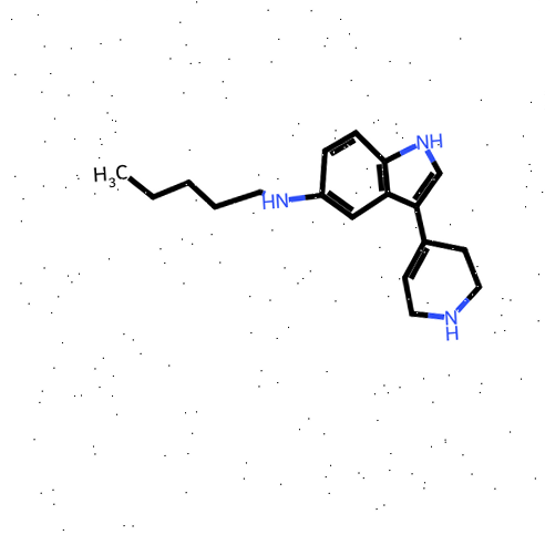 CCCCCNc1ccc2[nH]cc(C3=CCNCC3)c2c1